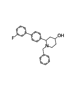 OC1CCN(Cc2ccccc2)C(c2ccc(-c3cccc(F)c3)cc2)C1